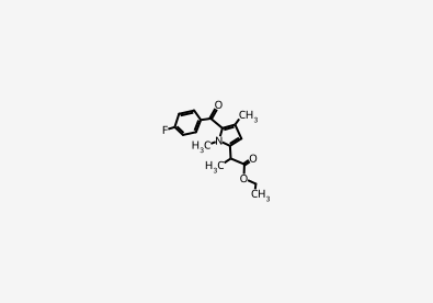 CCOC(=O)C(C)c1cc(C)c(C(=O)c2ccc(F)cc2)n1C